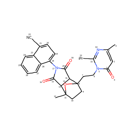 Cc1cc(=O)n(CCC23CCC(C)(O2)C2C(=O)N(c4ccc(C#N)c5ccccc45)C(=O)C23)c(C(C)C)n1